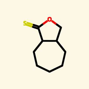 S=C1OCC2CCCCCC12